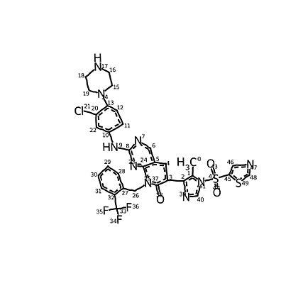 Cc1c(-c2cc3cnc(Nc4ccc(N5CCNCC5)c(Cl)c4)nc3n(Cc3ccccc3C(F)(F)F)c2=O)ncn1S(=O)(=O)c1cncs1